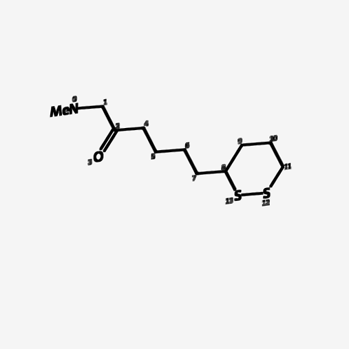 CNCC(=O)CCCCC1CCCSS1